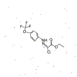 CCOC(=O)/C(Cl)=N\Nc1ccc(OC(F)(F)F)cc1